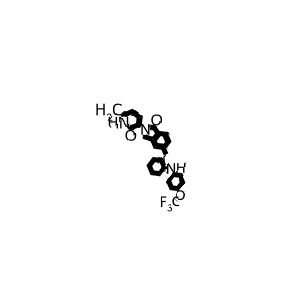 C=C1CCC(N2Cc3cc(C[C@H]4CCCC[C@@H]4N[C@H]4CC[C@@H](OC(F)(F)F)CC4)ccc3C2=O)C(=O)N1